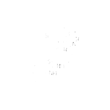 Cc1ccccc1NC(=S)NC1CCN(c2nncc3ccc(Br)cc23)CC1